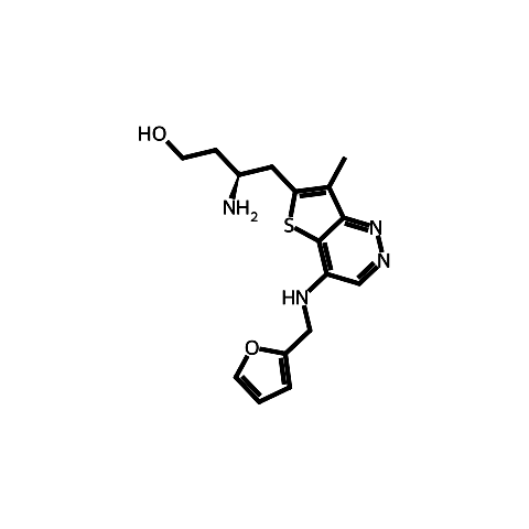 Cc1c(C[C@@H](N)CCO)sc2c(NCc3ccco3)cnnc12